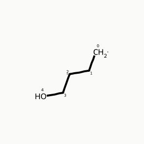 [CH2]C[CH]CO